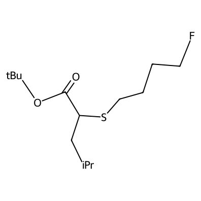 CC(C)CC(SCCCCF)C(=O)OC(C)(C)C